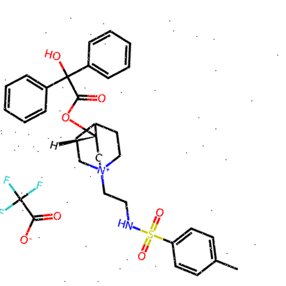 Cc1ccc(S(=O)(=O)NCC[N+]23CCC(CC2)[C@@H](OC(=O)C(O)(c2ccccc2)c2ccccc2)C3)cc1.O=C([O-])C(F)(F)F